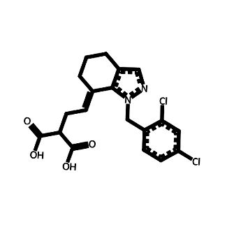 O=C(O)C(C/C=C1\CCCc2cnn(Cc3ccc(Cl)cc3Cl)c21)C(=O)O